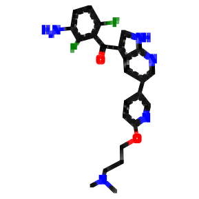 CN(C)CCCOc1ccc(-c2cnc3[nH]cc(C(=O)c4c(F)ccc(N)c4F)c3c2)cn1